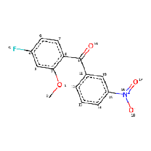 COc1cc(F)ccc1C(=O)c1cccc([N+](=O)[O-])c1